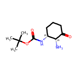 CC(C)(C)OC(=O)N[C@@H]1CCCC(=O)[C@@H]1N